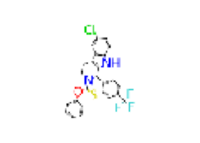 FC(F)(F)c1ccc(C2c3[nH]c4ccc(Cl)cc4c3CCN2C(=S)Oc2ccccc2)cc1